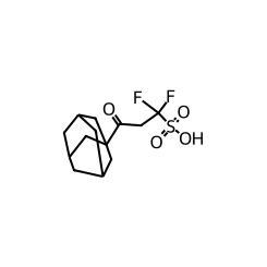 O=C(CC(F)(F)S(=O)(=O)O)C12CC3CC(CC(C3)C1)C2